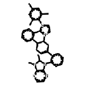 Cc1cc(C)c(-n2cc[n+]3c2-c2ccccc2C2CC=C(c4ccccc4N4c5nccnc5N(C)C4C)CC23)c(C)c1